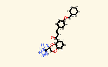 NC1(c2nnn[nH]2)COc2cccc(C(=O)C=Cc3ccc(OCC4CCCCC4)cc3)c2O1